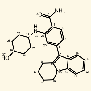 NC(=O)c1ccc(-c2c3n(c4ccccc24)CCCC3)cc1N[C@H]1CC[C@H](O)CC1